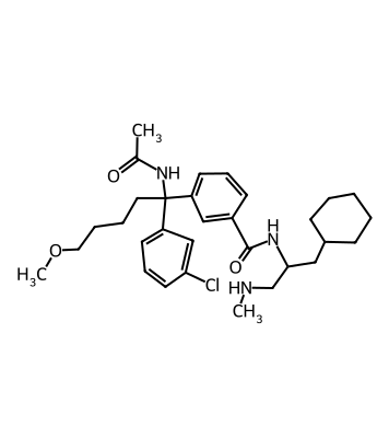 CNCC(CC1CCCCC1)NC(=O)c1cccc(C(CCCCOC)(NC(C)=O)c2cccc(Cl)c2)c1